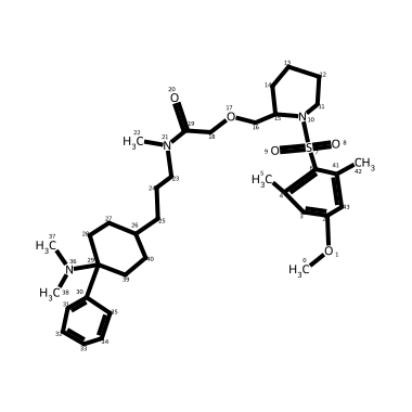 COc1cc(C)c(S(=O)(=O)N2CCCCC2COCC(=O)N(C)CCCC2CCC(c3ccccc3)(N(C)C)CC2)c(C)c1